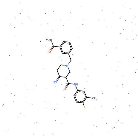 COC(=O)c1cccc(CN2CCC(=N)C(C(=O)Nc3ccc(F)c(C(F)(F)F)c3)C2)c1